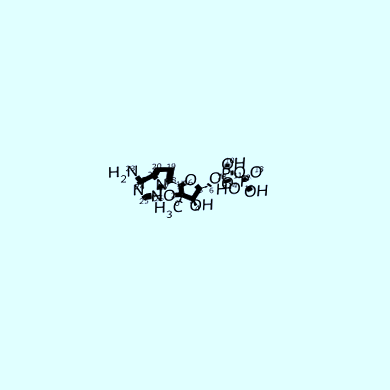 C[C@@]1(O)[C@H](O)[C@@H](COP(=O)(O)OP(=O)(O)O)O[C@H]1c1ccc2c(N)ncnn12